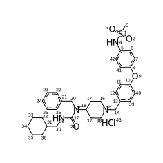 CS(=O)(=O)Nc1ccc(Oc2ccc(CN3CCC(N(Cc4ccccc4)C(=O)NCC4CCCCC4)CC3)cc2)cc1.Cl